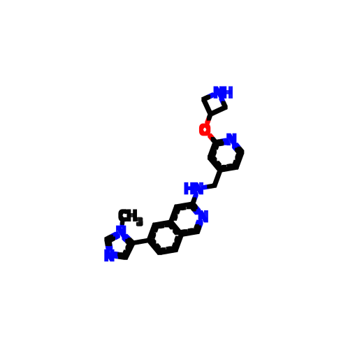 Cn1cncc1-c1ccc2cnc(NCc3ccnc(OC4CNC4)c3)cc2c1